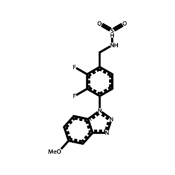 COc1ccc2c(c1)nnn2-c1ccc(CN[SH](=O)=O)c(F)c1F